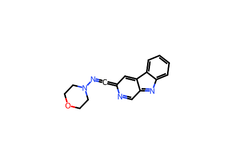 C(=NN1CCOCC1)=c1cc2c(cn1)=Nc1ccccc1-2